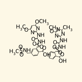 COc1cc(OC)nc(NC(=O)NS(=O)(=O)c2cc(CNS(C)(=O)=O)ccc2C(=O)O)n1.COc1nc(C)nc(NC(=O)NS(=O)(=O)c2ccccc2C(=O)O)n1